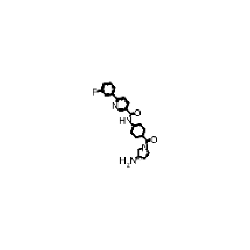 N[C@@H]1CCN(C(=O)C2CCC(NC(=O)c3ccc(-c4cccc(F)c4)nc3)CC2)C1